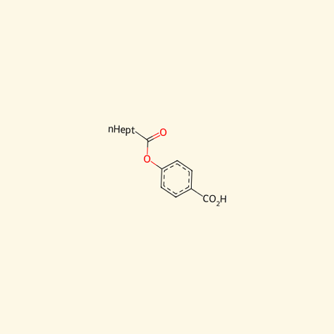 CCCCCCCC(=O)Oc1ccc(C(=O)O)cc1